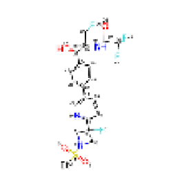 CCS(=O)(=O)N1CC(F)(c2ccc(-c3ccc([C@@H](O)[C@@H](CF)NC(=O)C(F)F)cc3)cn2)C1